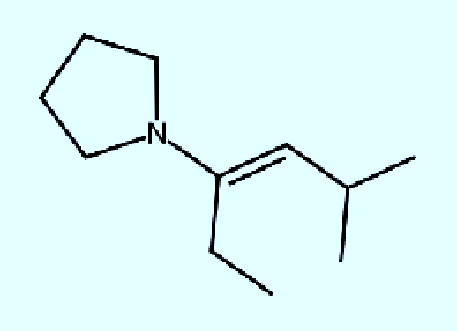 CCC(=CC(C)C)N1CCCC1